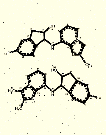 Cc1cn2cccc(NC3c4ccc(F)cc4CC3O)c2n1.Cc1nc2c(NC3c4ccc(F)cc4CC3O)cccn2c1C